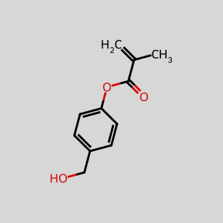 C=C(C)C(=O)Oc1ccc(CO)cc1